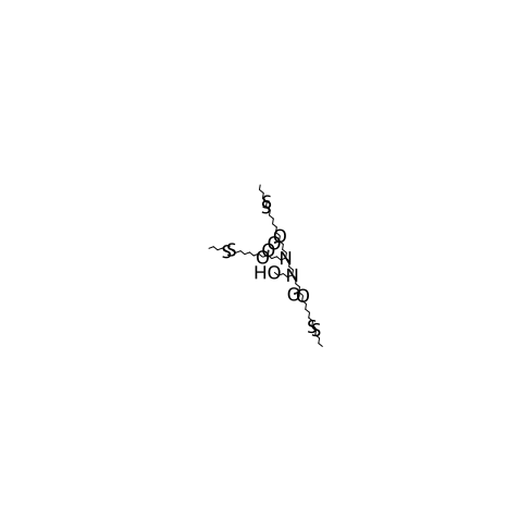 CCCCSSCCCCCCOC(=O)CCCN(CCCO)CCCN(CCCC(=O)OCCCCCCSSCCCC)CCCC(=O)OCCCCCCSSCCCC